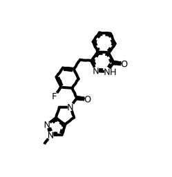 Cn1cc2c(n1)CN(C(=O)C1CC(Cc3n[nH]c(=O)c4ccccc34)=CC=C1F)C2